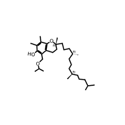 Cc1c(C)c2c(c(COC(C)C)c1O)CC[C@@](C)(CCC[C@H](C)CCC[C@H](C)CCCC(C)C)O2